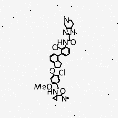 C=NC(=O)C1(NCc2cc(Cl)c(OC3CCc4c(-c5cccc(NC(=O)c6nc7c(n6C)CCN(C)C7)c5Cl)cccc43)cc2OC)CC1